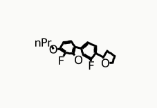 CCCOc1ccc2c(oc3c(F)c(C4CCCO4)ccc32)c1F